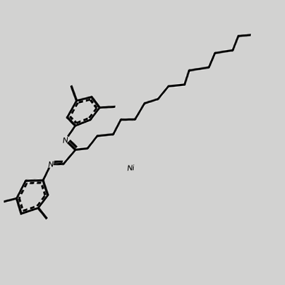 CCCCCCCCCCCCCCCC(C=Nc1cc(C)cc(C)c1)=Nc1cc(C)cc(C)c1.[Ni]